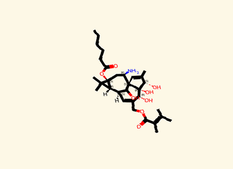 CCCCCC(=O)O[C@@]12C[C@@H](N)[C@]34C=C(C)[C@H](O)[C@@]3(O)[C@H](O)C(COC(=O)C(C)=C(C)C)=C[C@H](C4O)[C@@H]1C2(C)C